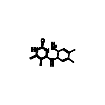 C=c1[nH]c(=O)nc(NC2C=C(C)C(C)=CC2N)c1=C